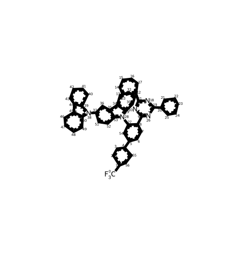 FC(F)(F)c1ccc(-c2ccc(-c3nc(-c4ccccc4)nc(-c4ccccc4)n3)c(-n3c4ccccc4c4cc(-n5c6ccccc6c6ccccc65)ccc43)c2)cc1